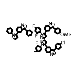 COc1ccc(-c2onc3ccc(-c4ccnn4-c4ccc(F)cc4F)cc23)cc1.Fc1ccc(-n2nccc2-c2ccc3noc(-c4ccc(Cl)cc4)c3c2)c(F)c1.c1ccc(-c2onc3ccc(-c4ccnn4-c4ccccc4)cc23)cc1